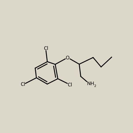 CCCC(CN)Oc1c(Cl)cc(Cl)cc1Cl